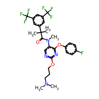 CN(C)CCCOc1ncc(N(C)C(=O)C(C)(C)c2cc(C(F)(F)F)cc(C(F)(F)F)c2)c(Oc2ccc(F)cc2)n1